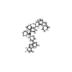 c1ccc(-c2ccccc2N(c2ccc(-c3ccc4ccc5oc6ccccc6c5c4c3)cc2)c2ccc(-c3cccc4c3oc3ccccc34)cc2)cc1